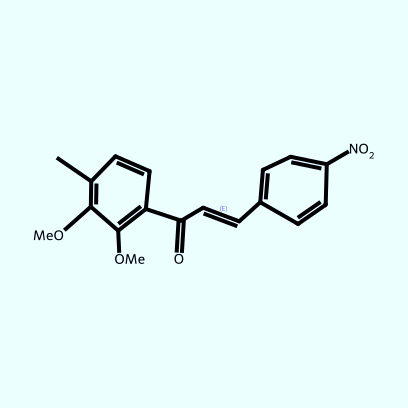 COc1c(C)ccc(C(=O)/C=C/c2ccc([N+](=O)[O-])cc2)c1OC